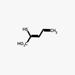 C=CC=C(S)C(=O)O